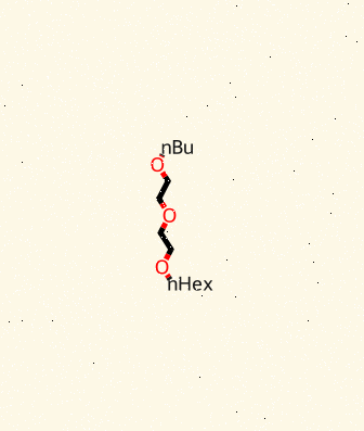 CCCCCCOCCOCCOCCCC